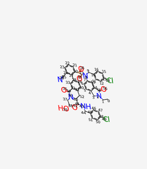 CCN1Cc2ccc(N(Cc3ccc(Cl)cc3)S(=O)(=O)c3cccc(C#N)c3-c3ccc4c(c3)C(=O)N(CCO)C(C(=O)NCc3ccc(Cl)cc3)C4)cc2C1=O